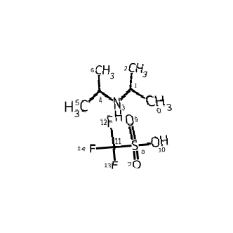 CC(C)NC(C)C.O=S(=O)(O)C(F)(F)F